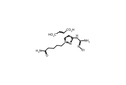 CCN=C(N)Nc1ccn(CCCCC(N)=O)n1.O=C(O)C=CC(=O)O